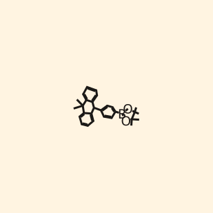 CC1(C)c2ccccc2C(c2ccc(B3OC(C)(C)C(C)(C)O3)cc2)c2ccccc21